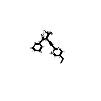 CCc1cnc(C#Cc2c(-c3ccccc3)noc2C)nc1